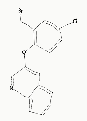 Clc1ccc(Oc2cnc3ccccc3c2)c(CBr)c1